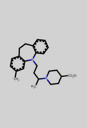 CCOC(=O)C1CCN(C(C)CCN2c3ccccc3CCc3ccc(C)cc32)CC1